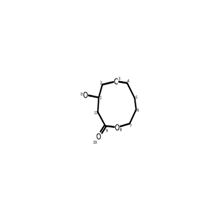 [O]C1CCCC[CH]COC(=O)C1